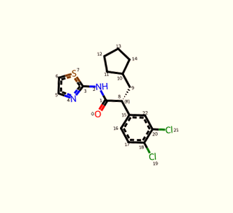 O=C(Nc1nccs1)[C@H](CC1CCCC1)c1ccc(Cl)c(Cl)c1